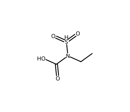 CCN(C(=O)O)[SH](=O)=O